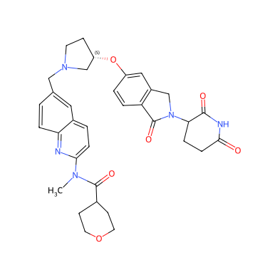 CN(C(=O)C1CCOCC1)c1ccc2cc(CN3CC[C@H](Oc4ccc5c(c4)CN(C4CCC(=O)NC4=O)C5=O)C3)ccc2n1